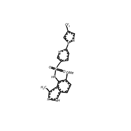 COc1ccc2[nH]nc(C)c2c1NS(=O)(=O)c1ccc(-n2cc(C(F)(F)F)cn2)nc1